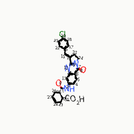 O=C(Nc1ccc2c(=O)n3c(nc2c1)C(=Cc1ccc(Cl)cc1)CC3)[C@H]1CC=CC[C@H]1C(=O)O